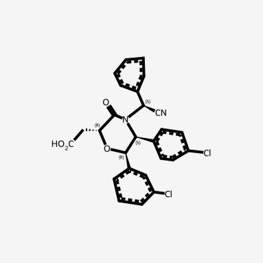 N#C[C@H](c1ccccc1)N1C(=O)[C@@H](CC(=O)O)O[C@H](c2cccc(Cl)c2)[C@@H]1c1ccc(Cl)cc1